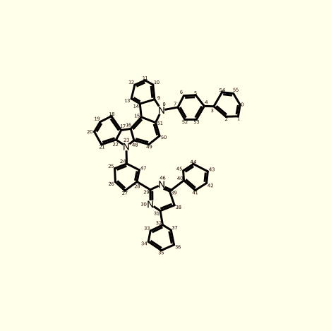 c1ccc(-c2ccc(-n3c4ccccc4c4c5c6ccccc6n(-c6cccc(-c7nc(-c8ccccc8)cc(-c8ccccc8)n7)c6)c5ccc43)cc2)cc1